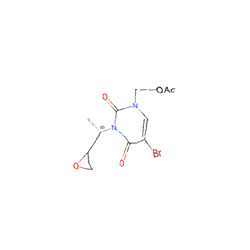 CC(=O)OCn1cc(Br)c(=O)n([C@@H](C)C2CO2)c1=O